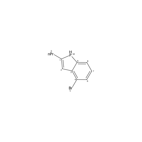 CCCc1cc2c(Br)cccc2[pH]1